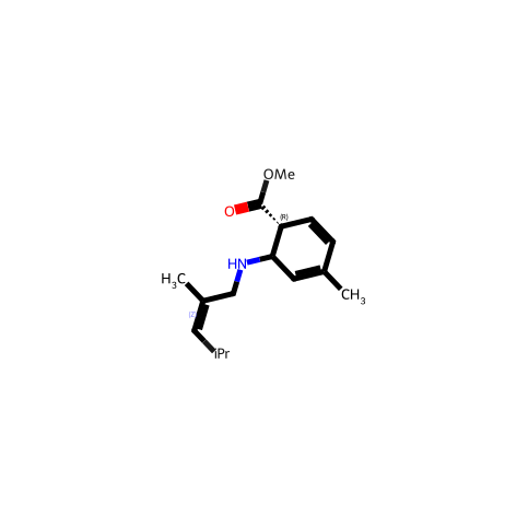 COC(=O)[C@@H]1C=CC(C)=CC1NC/C(C)=C\C(C)C